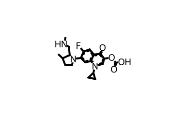 CNCC1C(C)CCN1c1cc2c(cc1F)c(=O)c(OC(=O)O)cn2C1CC1